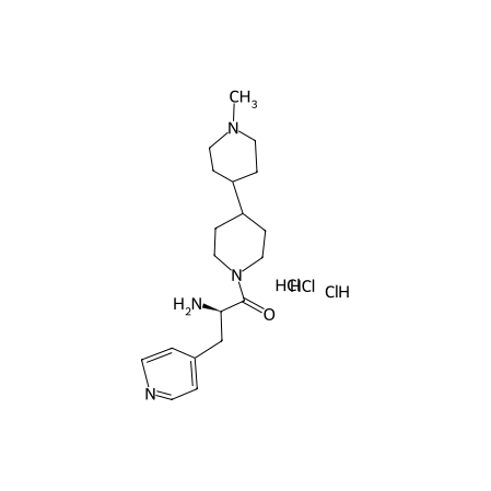 CN1CCC(C2CCN(C(=O)[C@H](N)Cc3ccncc3)CC2)CC1.Cl.Cl.Cl